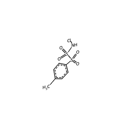 Cc1ccc(S(=O)(=O)S(=O)(=O)NCl)cc1